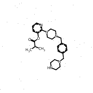 CC(C)C(=O)Oc1cccnc1N1CCN(Cc2ccc(CN3CCNCC3)cc2)CC1